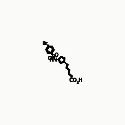 O=C(O)CCCC=C[C@@H]1CC[C@H](NS(=O)(=O)c2ccc(Br)cc2)C1